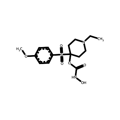 CCN1CCC(OC(=O)NO)(S(=O)(=O)c2ccc(OC)cc2)CC1